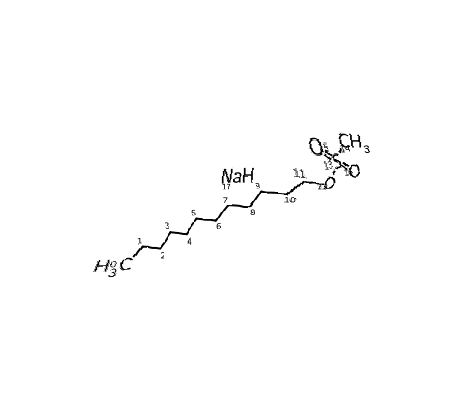 CCCCCCCCCCCCOS(C)(=O)=O.[NaH]